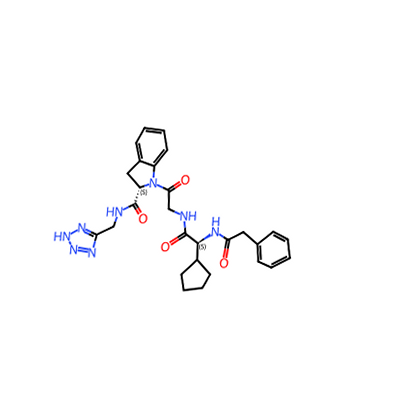 O=C(Cc1ccccc1)N[C@H](C(=O)NCC(=O)N1c2ccccc2C[C@H]1C(=O)NCc1nn[nH]n1)C1CCCC1